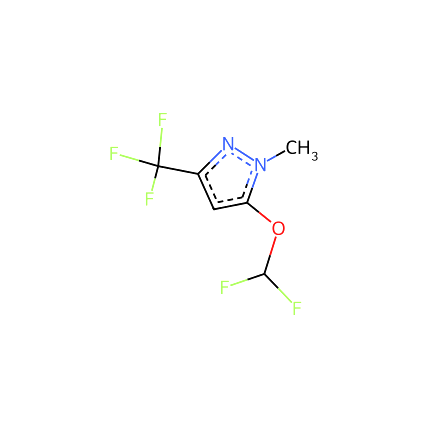 Cn1nc(C(F)(F)F)cc1OC(F)F